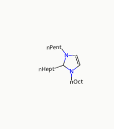 CCCCCCCCN1C=CN(CCCCC)C1CCCCCCC